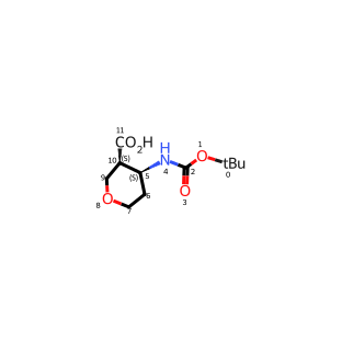 CC(C)(C)OC(=O)N[C@H]1CCOC[C@H]1C(=O)O